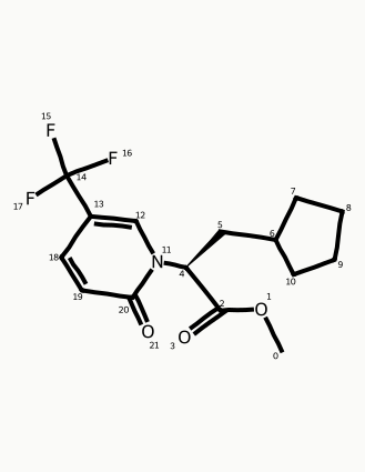 COC(=O)[C@H](CC1CCCC1)n1cc(C(F)(F)F)ccc1=O